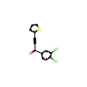 O=C(C#Cc1cccs1)c1ccc(Cl)c(Cl)c1